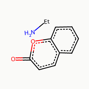 CCN.O=c1ccc2ccccc2o1